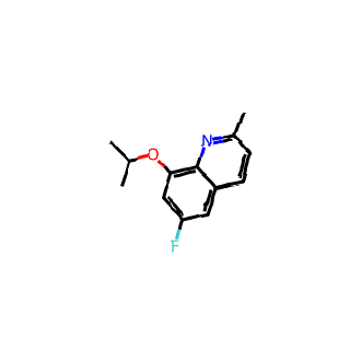 Cc1ccc2cc(F)cc(OC(C)C)c2n1